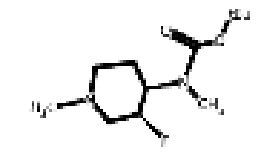 CN1CC[C@@H](N(C)C(=O)OC(C)(C)C)[C@@H](F)C1